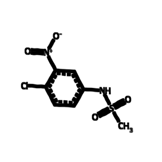 CS(=O)(=O)Nc1ccc(Cl)c([N+](=O)[O-])c1